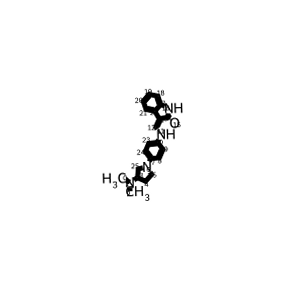 CN(C)C1CCN(c2ccc(NC=C3C(=O)Nc4ccccc43)cc2)C1